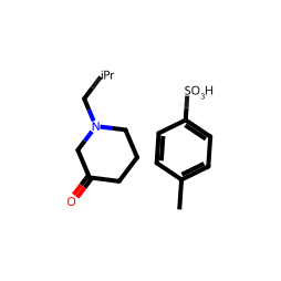 CC(C)CN1CCCC(=O)C1.Cc1ccc(S(=O)(=O)O)cc1